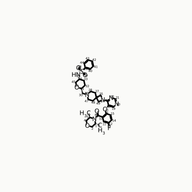 C[C@@H]1COC[C@@H](C)N1C(=O)c1cc(F)ccc1Oc1cncnc1N1CC2(CCN(C[C@@H]3CC[C@@H](NS(=O)(=O)c4ccccc4)CO3)CC2)C1